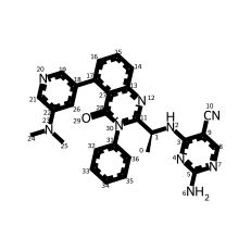 C[C@H](Nc1nc(N)ncc1C#N)c1nc2cccc(-c3cncc(N(C)C)c3)c2c(=O)n1-c1ccccc1